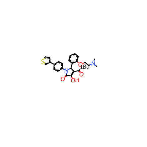 CN(C)CCOc1ccccc1C1C(C(=O)C(C)(C)C)=C(O)C(=O)N1c1ccc(-c2ccsc2)cc1